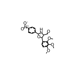 COc1ccc(C2OC(c3ccc([N+](=O)[O-])cc3)NC2C=O)c(OC)c1OC